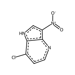 O=[N+]([O-])c1c[nH]c2c(Cl)ccnc12